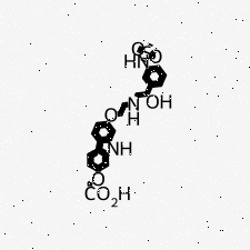 CS(=O)(=O)Nc1cccc(C(O)CNCCOc2ccc3c(c2)[nH]c2cc(OCC(=O)O)ccc23)c1